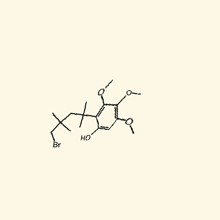 COc1cc(O)c(C(C)(C)CC(C)(C)CBr)c(OC)c1OC